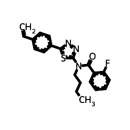 C=Cc1ccc(-c2nnc(N(CCCC)C(=O)c3ccccc3F)s2)cc1